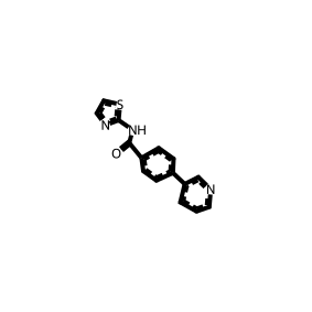 O=C(Nc1nccs1)c1ccc(-c2cccnc2)cc1